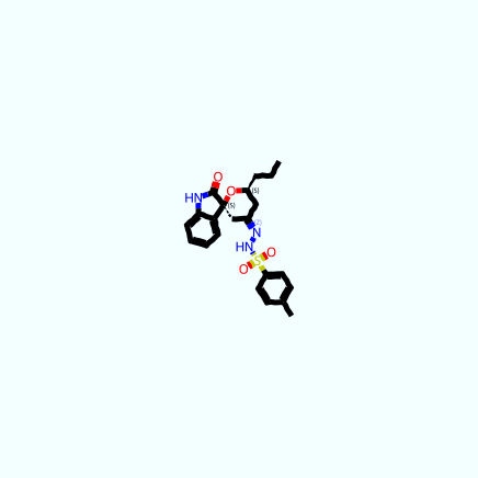 CCC[C@H]1C/C(=N/NS(=O)(=O)c2ccc(C)cc2)C[C@@]2(O1)C(=O)Nc1ccccc12